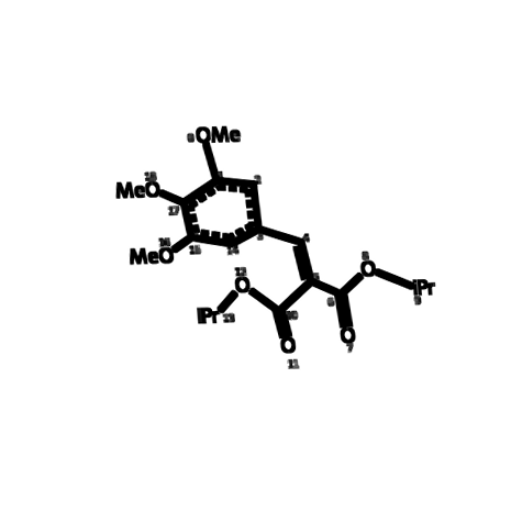 COc1cc(C=C(C(=O)OC(C)C)C(=O)OC(C)C)cc(OC)c1OC